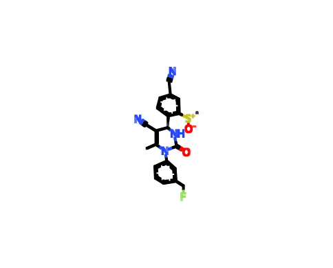 CC1=C(C#N)[C@@H](c2ccc(C#N)cc2[S@+](C)[O-])NC(=O)N1c1cccc(CF)c1